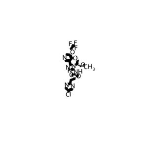 COC[C@H]1COc2c(OCC(F)(F)F)cncc2-c2nnc(NS(=O)(=O)CCc3ncc(Cl)cn3)n21